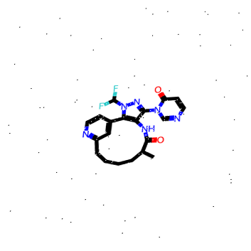 CC1CCCCc2cc(ccn2)-c2c(c(-n3cnccc3=O)nn2C(F)F)NC1=O